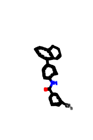 O=C(Nc1ccc(-c2cccc3c2C=CCC3)cc1)c1cccc(C(F)(F)F)c1